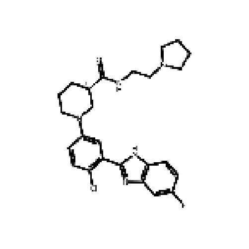 O=C(NCCN1CCCC1)[C@@H]1CCCN(c2ccc(Cl)c(-c3nc4cc(F)ccc4[nH]3)c2)C1